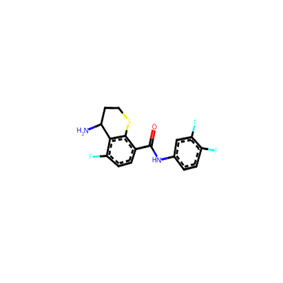 NC1CCSc2c(C(=O)Nc3ccc(F)c(F)c3)ccc(F)c21